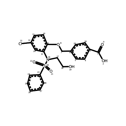 O=C(O)c1ccc(COc2ccc(Cl)cc2N(CCO)S(=O)(=O)c2ccccc2)cc1